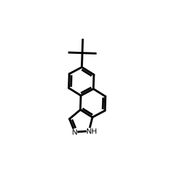 CC(C)(C)c1ccc2c(ccc3[nH]ncc32)c1